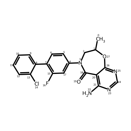 CC1CN(c2ccc(-c3ccccc3Cl)c(F)c2)C(=O)c2c(N)ncnc2O1